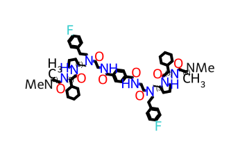 CN[C@@H](C)C(=O)N[C@H](C(=O)N1CCC[C@H]1CN(CCc1ccc(F)cc1)C(=O)CNC(=O)c1ccc(C(=O)NCC(=O)N(CCc2ccc(F)cc2)C[C@@H]2CCCN2C(=O)[C@@H](NC(=O)[C@H](C)NC)C2CCCCC2)cc1)C1CCCCC1